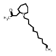 C=CCCCCCCCCCN1CCCCCC1CC(C)=O